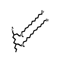 CCCC(CCCC(CCC)CCN(C)CCCCCCCCCCCCCBr)CCN(C)CCCCCCCCCCCCBr